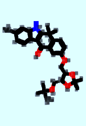 CC1(C)O[C@H](COc2ccc3c(c2)C(=O)c2c([nH]c4cc(C#N)ccc24)C3(C)C)[C@@H](CO[Si](C)(C)C(C)(C)C)O1